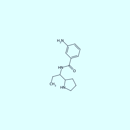 CCC(NC(=O)c1cccc(N)c1)C1CCCN1